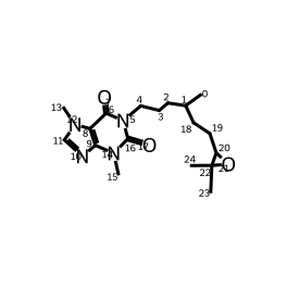 CC(CCCn1c(=O)c2c(ncn2C)n(C)c1=O)CCC1OC1(C)C